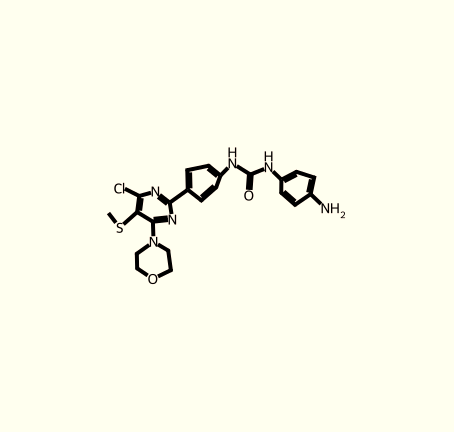 CSc1c(Cl)nc(-c2ccc(NC(=O)Nc3ccc(N)cc3)cc2)nc1N1CCOCC1